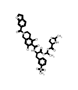 CC(OC(=O)C(Cc1cccc(S(C)(=O)=O)c1)NC(=O)c1c(Cl)cc2c(c1Cl)CCN(C(=O)c1ccc3ccoc3c1)C2)OC(=O)C1CSC(C)N1